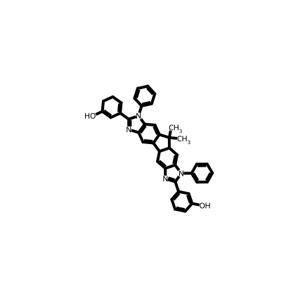 CC1(C)c2cc3c(cc2C2C=c4nc(-c5cccc(O)c5)n(-c5ccccc5)c4=CC21)nc(C1=CCCC(O)=C1)n3-c1ccccc1